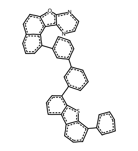 c1ccc(-c2cccc3c2sc2c(-c4cccc(-c5cccc(-c6cccc7ccc8oc9nccnc9c8c67)c5)c4)cccc23)cc1